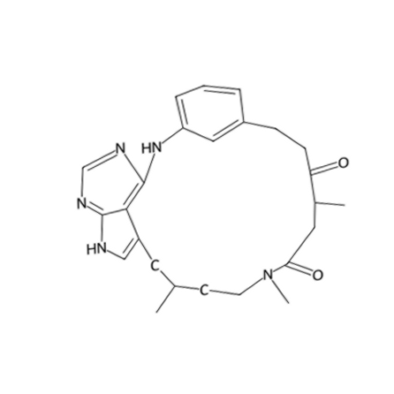 CC1CCN(C)C(=O)CC(C)C(=O)CCc2cccc(c2)Nc2ncnc3[nH]cc(c23)C1